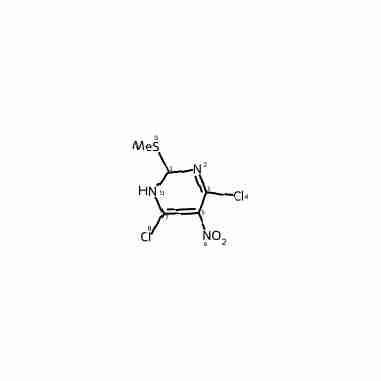 CSC1N=C(Cl)C([N+](=O)[O-])=C(Cl)N1